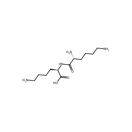 NCCCC[C@@H](N)C(=O)N[C@H](CCCCN)C(=O)O